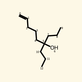 C=CCCCC(O)(CCC)CCC